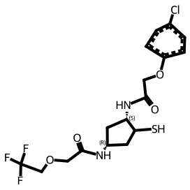 O=C(COCC(F)(F)F)N[C@H]1CC(S)[C@@H](NC(=O)COc2ccc(Cl)cc2)C1